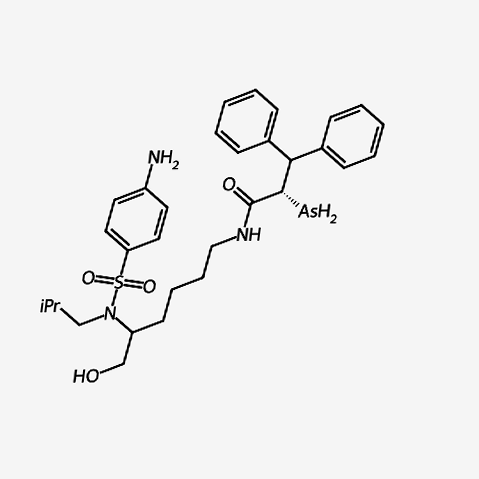 CC(C)CN(C(CO)CCCCNC(=O)[C@@H]([AsH2])C(c1ccccc1)c1ccccc1)S(=O)(=O)c1ccc(N)cc1